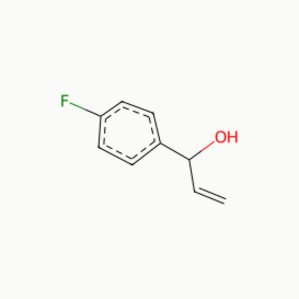 C=CC(O)c1ccc(F)cc1